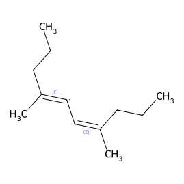 CCC/C(C)=C\[C]=C(/C)CCC